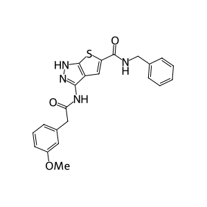 COc1cccc(CC(=O)Nc2n[nH]c3sc(C(=O)NCc4ccccc4)cc23)c1